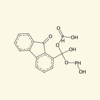 O=C1c2ccccc2-c2cccc(C(O)(OPO)O[PH](=O)O)c21